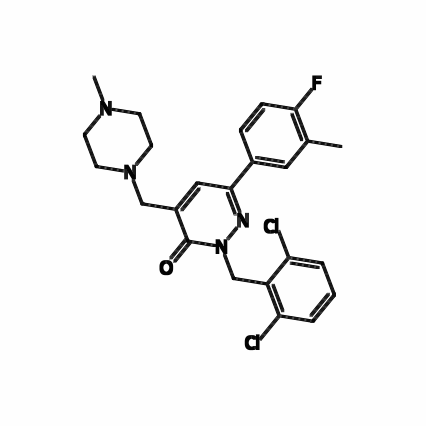 Cc1cc(-c2cc(CN3CCN(C)CC3)c(=O)n(Cc3c(Cl)cccc3Cl)n2)ccc1F